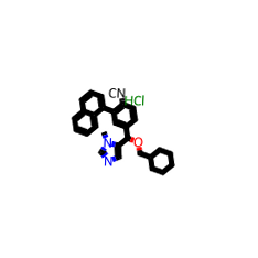 Cl.Cn1cncc1C(OCC1CCCCC1)c1ccc(C#N)c(-c2cccc3ccccc23)c1